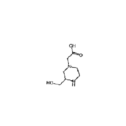 O=C(O)CN1CCNC(CO)C1